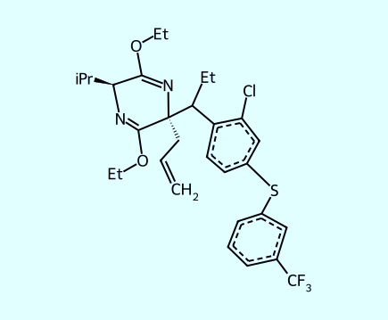 C=CC[C@@]1(C(CC)c2ccc(Sc3cccc(C(F)(F)F)c3)cc2Cl)N=C(OCC)[C@H](C(C)C)N=C1OCC